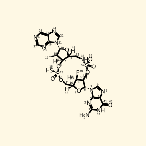 Nc1nc2c(ncn2[C@@H]2O[C@@H]3CO[P@@](=O)(S)O[C@H]4[C@@H](F)[C@H](n5cnc6cncnc65)O[C@@H]4CNS(=O)(=O)O[C@@H]2[C@@H]3F)c(=O)[nH]1